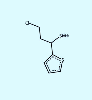 CSC(CCCl)c1cccs1